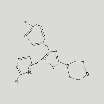 Fc1ccc(-c2nc(N3CCOCC3)sc2-c2ccnc(Cl)n2)cc1